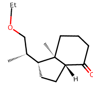 CCOC[C@@H](C)[C@H]1CC[C@H]2C(=O)CCC[C@]12C